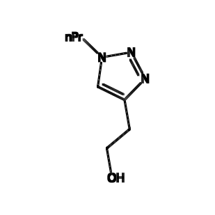 CCCn1cc(CCO)nn1